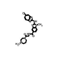 CN1CCCN(C(=O)CNC(=O)c2ccc3c(c2)nc(NC2=NC4C=CC(Cl)=CC(=C4)S2)n3C)CC1